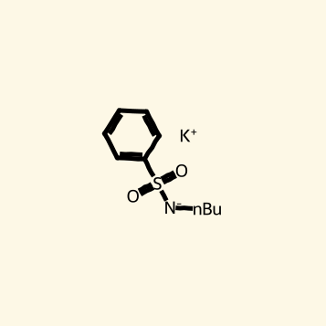 CCCC[N-]S(=O)(=O)c1ccccc1.[K+]